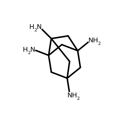 NC12CC3(N)CC(N)(C1)C(N)(C2)C3